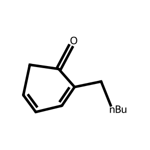 [CH2]CCCCC1=CC=CCC1=O